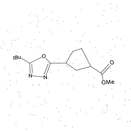 COC(=O)C1CCC(c2nnc(C(C)(C)C)o2)C1